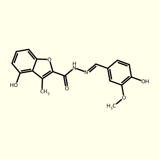 COc1cc(C=NNC(=O)c2oc3cccc(O)c3c2C)ccc1O